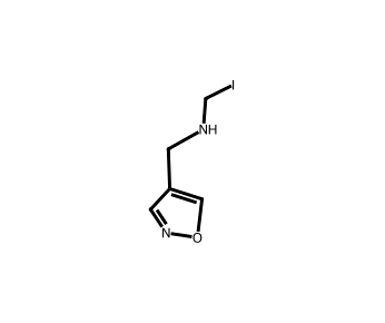 ICNCc1cnoc1